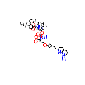 C[C@@H](CNC(=O)OC(C)(C)C)OC(=O)N[C@@H](CCOC1CC(CCc2ccc3c(n2)NCCC3)C1)C(=O)O